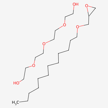 CCCCCCCCCCCCOCC1CO1.OCCOCCOCCOCCO